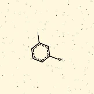 Sc1cccc(I)c1